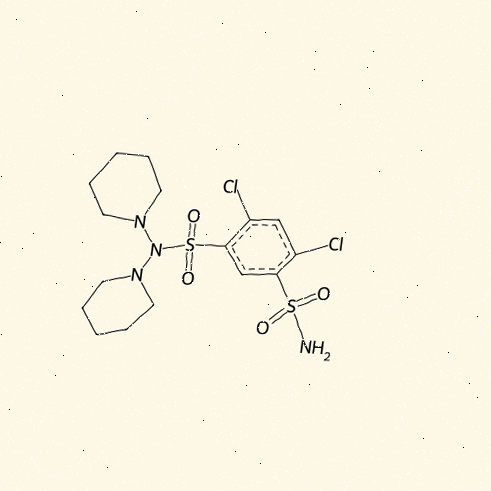 NS(=O)(=O)c1cc(S(=O)(=O)N(N2CCCCC2)N2CCCCC2)c(Cl)cc1Cl